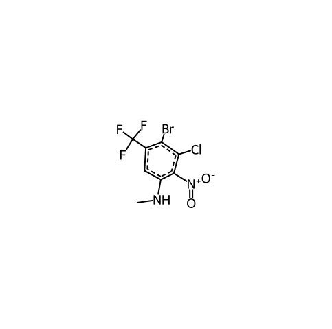 CNc1cc(C(F)(F)F)c(Br)c(Cl)c1[N+](=O)[O-]